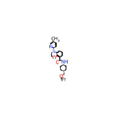 Cc1ccc(N2CCOc3c(C(=O)N[C@H]4CC[C@H](COC(C)C)CC4)cccc32)nc1